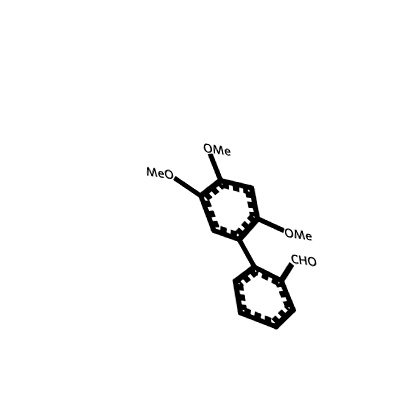 COc1cc(OC)c(-c2ccccc2C=O)cc1OC